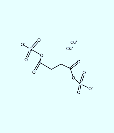 O=C(CCC(=O)OS(=O)(=O)[O-])OS(=O)(=O)[O-].[Cu+].[Cu+]